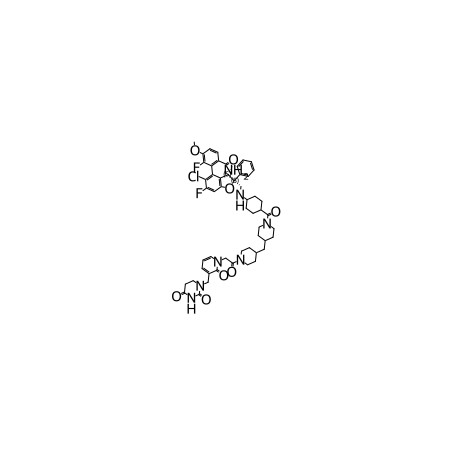 COc1ccc(C(N)=O)c(-c2c(Cl)c(F)cc3c2[C@H](C)[C@@](CNC2CCC(C(=O)N4CCC(CC5CCN(C(=O)Cn6cccc(CN7CCC(=O)NC7=O)c6=O)CC5)CC4)CC2)(c2ccccc2)O3)c1F